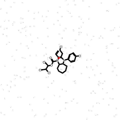 C=CCN(C(=O)OC(Cl)C(Cl)Cl)C1CCCCCC1N(C(=O)CCCl)c1ccc(Cl)cc1